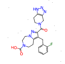 O=C(O)N1CCc2c(Cc3ccccc3F)c(C(=O)N3CCc4[nH]nnc4C3)nn2CC1